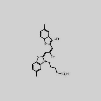 CCC(=CC1=[N+](CC)C2C=C(C)C=CC2S1)C=C1Sc2ccc(C)cc2N1CCCCS(=O)(=O)O